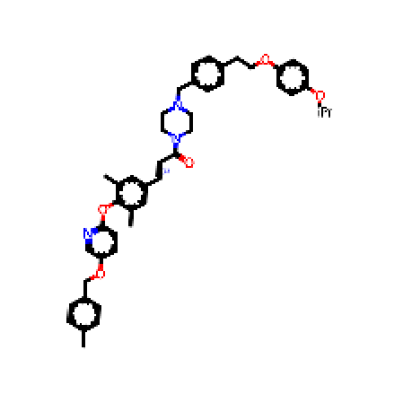 Cc1ccc(COc2ccc(Oc3c(C)cc(/C=C/C(=O)N4CCN(Cc5ccc(CCOc6ccc(OC(C)C)cc6)cc5)CC4)cc3C)nc2)cc1